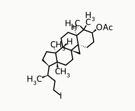 CC(=O)O[C@H]1CC[C@]23C[C@]24CC[C@]2(C)[C@@H]([C@H](C)CCI)CC[C@@]2(C)[C@@H]4CC[C@H]3C1(C)C